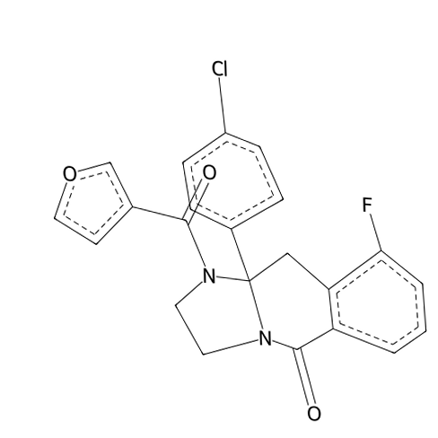 O=C(c1ccoc1)N1CCN2C(=O)c3cccc(F)c3CC12c1ccc(Cl)cc1